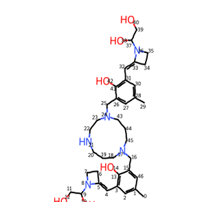 Cc1cc(C=C2CCN2C(O)CO)c(O)c(CN2CCCNCCN(Cc3cc(C)cc(C=C4CCN4C(O)CO)c3O)CCC2)c1